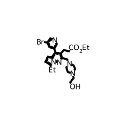 CCOC(=O)CCc1c(CN2CCN(CCO)CC2)nn2c(CC)ccc2c1-c1cncc(Br)c1